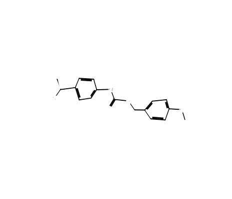 COc1ccc(CNC(=O)Nc2ccc([C@H](C)N)cc2)cc1